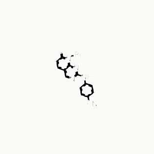 CCC(C)n1c(=O)ccc2cnc(Nc3ccc(C#N)cc3)nc21